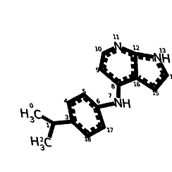 CC(C)c1ccc(Nc2ccnc3[nH]ccc23)cc1